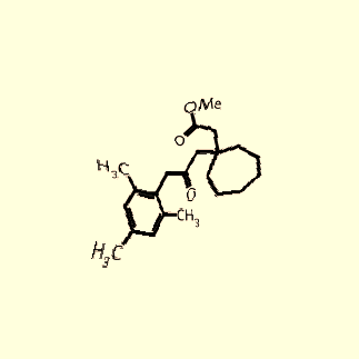 COC(=O)CC1(CC(=O)Cc2c(C)cc(C)cc2C)CCCCCC1